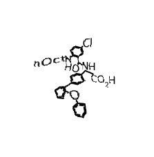 CCCCCCCCNc1ccc(Cl)cc1C(=O)NC(CC(=O)O)c1ccc(-c2ccccc2Oc2ccccc2)cc1